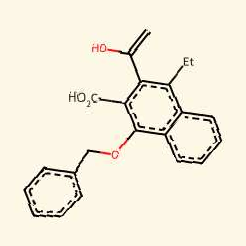 C=C(O)c1c(C(=O)O)c(OCc2ccccc2)c2ccccc2c1CC